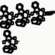 O=C([O-])C(N1C(=O)c2ccccc2C1=O)C12CC3CC(CC(C3)C1)C2.O=C([O-])C(N1C(=O)c2ccccc2C1=O)C12CC3CC(CC(C3)C1)C2.O=C([O-])C(N1C(=O)c2ccccc2C1=O)C12CC3CC(CC(C3)C1)C2.O=C([O-])C(N1C(=O)c2ccccc2C1=O)C12CC3CC(CC(C3)C1)C2.[Rh+2].[Rh+2]